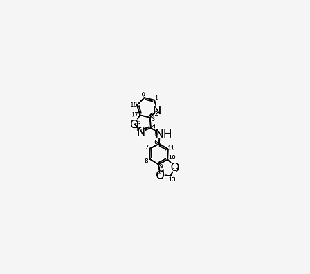 c1cnc2c(Nc3ccc4c(c3)OCO4)noc2c1